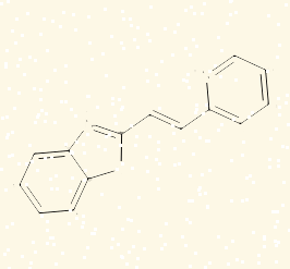 C(=Cc1nc2ccccc2o1)c1ccccn1